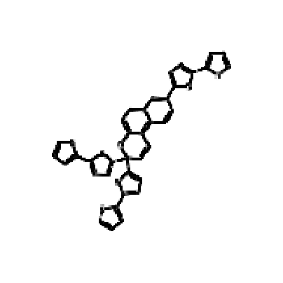 C1=CC(c2ccc(-c3cccs3)s2)(c2ccc(-c3cccs3)s2)Oc2ccc3cc(-c4ccc(-c5cccs5)s4)ccc3c21